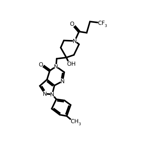 Cc1ccc(-n2ncc3c(=O)n(CC4(O)CCN(C(=O)CCC(F)(F)F)CC4)cnc32)cc1